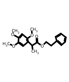 COc1cc(OC)c(C(C)C(=O)OCCc2ccccc2)cc1OC